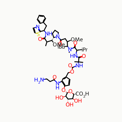 CCC(C)C(C(CC(=O)N1CCC[C@H]1C(OC)C(C)C(=O)NC(Cc1ccccc1)c1nccs1)OC)N(C)C(=O)C(NC(=O)C(C)(C)NC(=O)OCc1ccc(O[C@@H]2O[C@H](C(=O)O)[C@@H](O)[C@H](O)[C@H]2O)c(NC(=O)CCN)c1)C(C)C